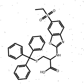 CCS(=O)(=O)c1ccc2nc(NC(CSC(c3ccccc3)(c3ccccc3)c3ccccc3)C(=O)O)oc2c1